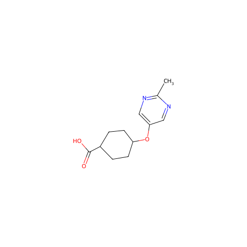 Cc1ncc(OC2CCC(C(=O)O)CC2)cn1